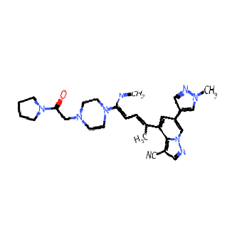 C=N/C(=C\C=C(/C)c1cc(-c2cnn(C)c2)cn2ncc(C#N)c12)N1CCN(CC(=O)N2CCCC2)CC1